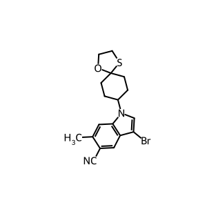 Cc1cc2c(cc1C#N)c(Br)cn2C1CCC2(CC1)OCCS2